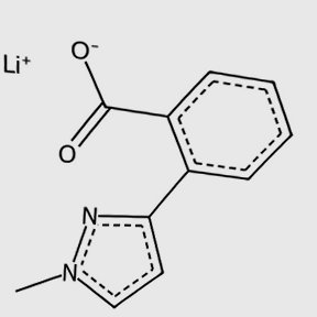 Cn1ccc(-c2ccccc2C(=O)[O-])n1.[Li+]